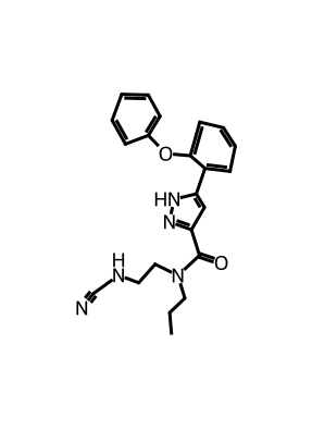 CCCN(CCNC#N)C(=O)c1cc(-c2ccccc2Oc2ccccc2)[nH]n1